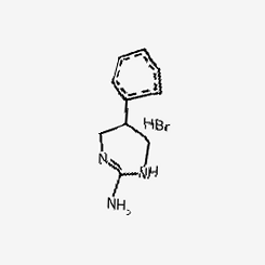 Br.NC1=NCC(c2ccccc2)CN1